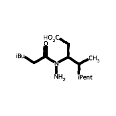 CCCC(C)C(C)C(CC(=O)O)N(N)C(=O)CC(C)CC